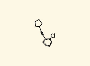 Clc1ccccc1C#CC1CCCC1